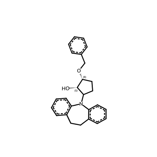 O[C@H]1C(N2c3ccccc3CCc3ccccc32)CC[C@H]1OCc1ccccc1